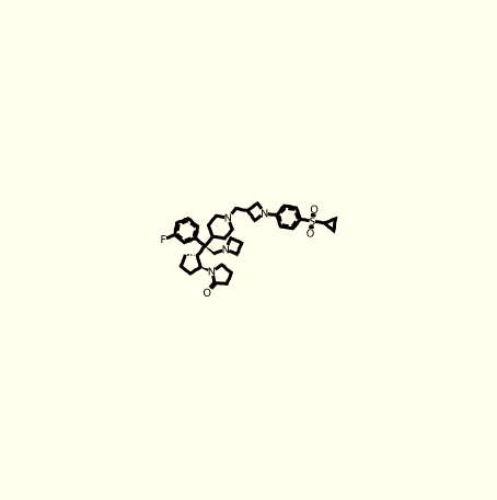 O=C1CCCN1[C@H]1CCC[C@@H]1[C@](CN1CCC1)(c1cccc(F)c1)C1CCN(CC2CN(c3ccc(S(=O)(=O)C4CC4)cc3)C2)CC1